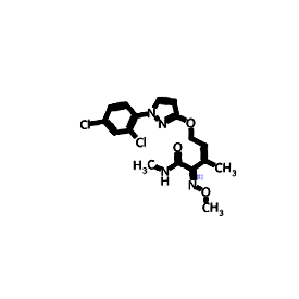 CNC(=O)/C(=N/OC)C(C)=CCOc1ccn(-c2ccc(Cl)cc2Cl)n1